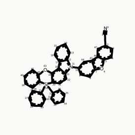 N#Cc1ccc2oc3ccc(-n4c5ccccc5c5c6c(ccc54)[Si](c4ccccc4)(c4ccccc4)c4ccccc4O6)cc3c2c1